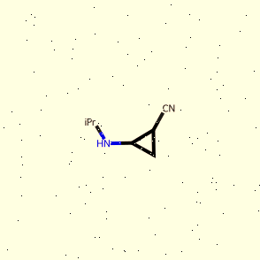 CC(C)NC1CC1C#N